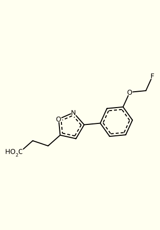 O=C(O)CCc1cc(-c2cccc(OCF)c2)no1